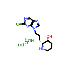 Cl.Cl.Cl.O[C@H]1CCCN[C@@H]1CCCn1cnc2cnc(Cl)nc21